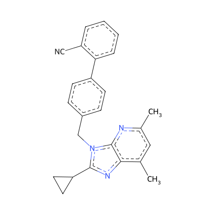 Cc1cc(C)c2nc(C3CC3)n(Cc3ccc(-c4ccccc4C#N)cc3)c2n1